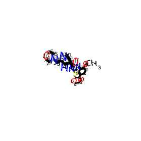 COc1ccc(C2COCCO2)c2sc(NC(=O)c3ccnc(CN4CCOCC4)c3)nc12